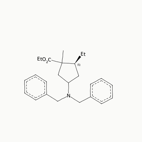 CCOC(=O)C1(C)CC(N(Cc2ccccc2)Cc2ccccc2)C[C@@H]1CC